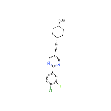 CCCC[C@H]1CC[C@H](C#Cc2cnc(-c3ccc(Cl)c(F)c3)nc2)CC1